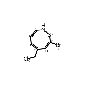 ClCc1ccc[nH]sc(Br)c1